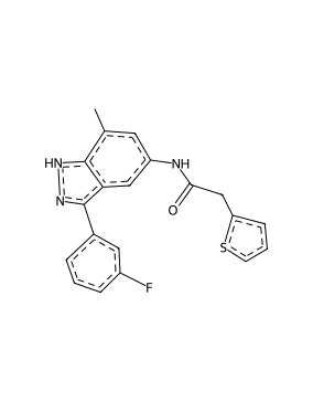 Cc1cc(NC(=O)Cc2cccs2)cc2c(-c3cccc(F)c3)n[nH]c12